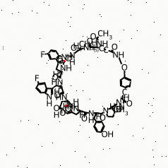 CC(=O)N[C@H]1CCC(=O)NCCOc2ccc(cc2)C[C@@H](C(N)=O)NC(=O)[C@]2(C)CCCN2C(=O)[C@H](Cc2ccc(O)cc2)NC(=O)[C@H](Cc2cnc[nH]2)NC(=O)[C@H](CC(=O)O)NC(=O)[C@H](Cc2c[nH]c3ccc(F)cc23)NC(=O)[C@H](Cc2c[nH]c3ccc(F)cc23)NC(=O)CNC(=O)[C@H](C)NC1=O